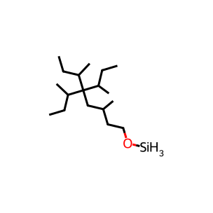 CCC(C)C(CC(C)CCO[SiH3])(C(C)CC)C(C)CC